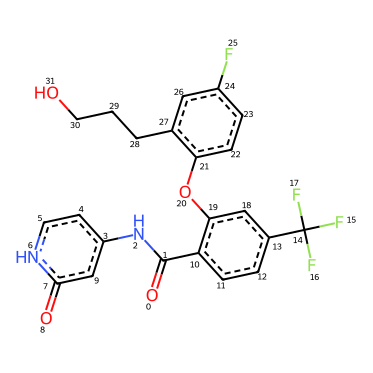 O=C(Nc1cc[nH]c(=O)c1)c1ccc(C(F)(F)F)cc1Oc1ccc(F)cc1CCCO